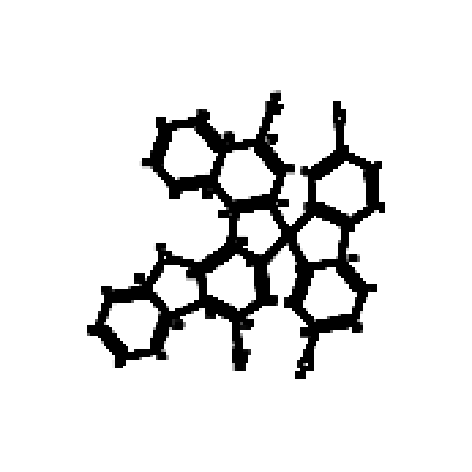 Clc1ccc2c(c1)C1(c3cc(Cl)ccc3-2)c2cc(Br)c3ccccc3c2-c2c1cc(Br)c1c2oc2ccccc21